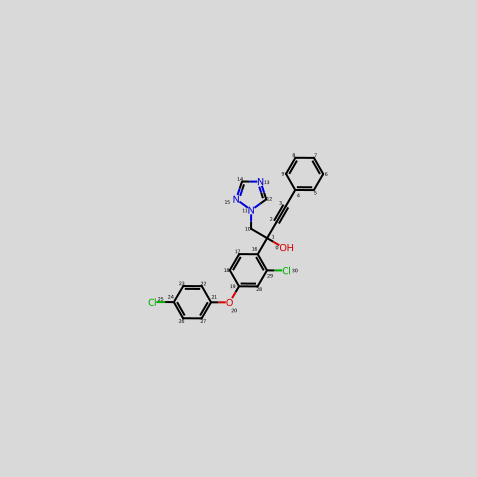 OC(C#Cc1ccccc1)(Cn1cncn1)c1ccc(Oc2ccc(Cl)cc2)cc1Cl